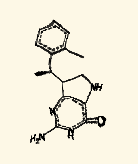 Cc1ccccc1[C@H](C)C1CNc2c1nc(N)[nH]c2=O